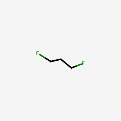 F[CH]C[CH]F